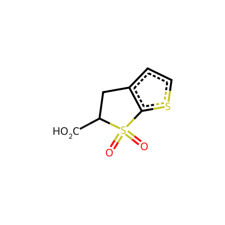 O=C(O)C1Cc2ccsc2S1(=O)=O